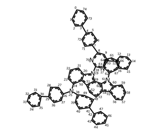 c1ccc(-c2ccc(-c3cc(-c4ccccc4)nc(-n4c5cccc(N(c6ccc(-c7ccccc7)cc6)c6ccc(-c7ccccc7)cc6)c5c5ccc6c7ccccc7n(-c7ccccc7)c6c54)n3)cc2)cc1